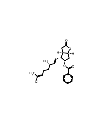 C/C(Cl)=C\CC[C@H](O)/C=C/[C@@H]1[C@H]2CC(=O)O[C@H]2C[C@H]1OC(=O)c1ccccc1